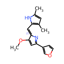 COC1=CC(c2ccoc2)=N/C1=C\c1[nH]c(C)cc1C